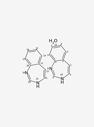 C1=Cc2ccccc2N=CN1.C1=Cc2ccccc2N=CN1.O